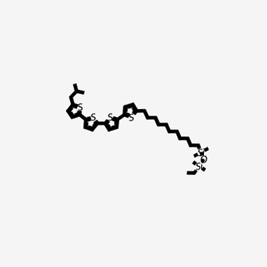 CC[Si](C)(C)O[Si](C)(C)CCCCCCCCCCCc1ccc(-c2ccc(-c3ccc(-c4ccc(CC(C)C)s4)s3)s2)s1